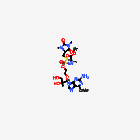 COc1nc(N)nc2c1ncn2[C@H](OCCO[P@](=O)(N[C@@H](C)C(=O)OC(C)C)SCC1C(=O)N(C)C(=O)N1C)[C@](C)(O)CO